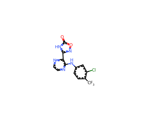 O=c1[nH]c(-c2nccnc2Nc2ccc(C(F)(F)F)c(Cl)c2)no1